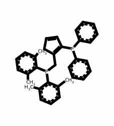 Cc1cccc(C)c1P(CC1=C(P(c2ccccc2)c2ccccc2)C=CC1)c1c(C)cccc1C